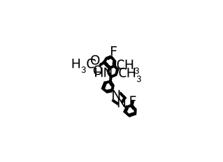 COC(=O)c1cc(F)cc2c1NC(c1cccc(N3CCN(c4ccccc4F)CC3)c1)CC2(C)C